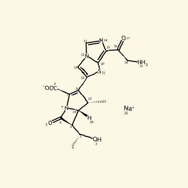 C[C@@H](O)[C@H]1C(=O)N2C(C(=O)[O-])=C(c3cn4cnc(C(=O)CN)c4s3)[C@H](C)[C@H]12.[Na+]